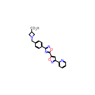 O=C(O)C1CN(Cc2ccc(-c3noc(-c4cc(-c5ccccn5)no4)n3)cc2)C1